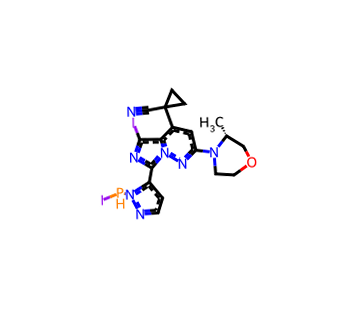 C[C@@H]1COCCN1c1cc(C2(C#N)CC2)c2c(I)nc(-c3ccnn3PI)n2n1